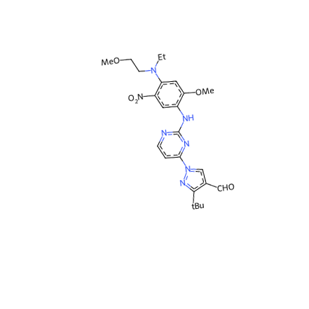 CCN(CCOC)c1cc(OC)c(Nc2nccc(-n3cc(C=O)c(C(C)(C)C)n3)n2)cc1[N+](=O)[O-]